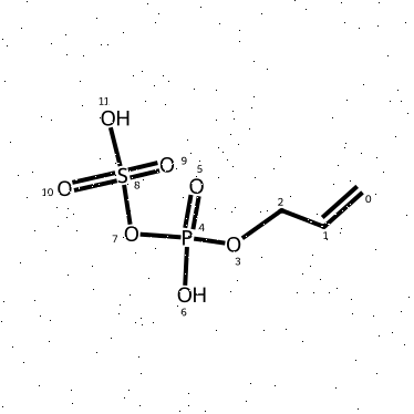 C=CCOP(=O)(O)OS(=O)(=O)O